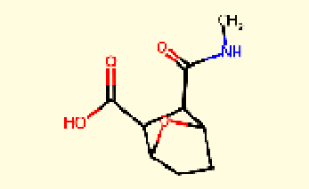 CNC(=O)C1C2CCC(O2)C1C(=O)O